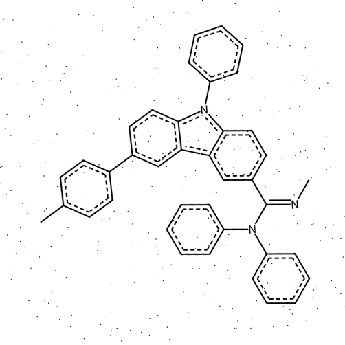 C/N=C(\c1ccc2c(c1)c1cc(-c3ccc(C)cc3)ccc1n2-c1ccccc1)N(c1ccccc1)c1ccccc1